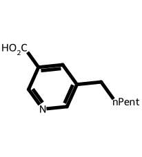 CCCCCCc1cncc(C(=O)O)c1